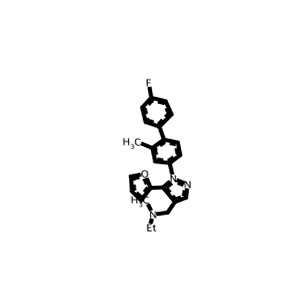 CCN(C)Cc1cnn(-c2ccc(-c3ccc(F)cc3)c(C)c2)c1-c1ccco1